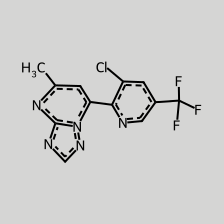 Cc1cc(-c2ncc(C(F)(F)F)cc2Cl)n2ncnc2n1